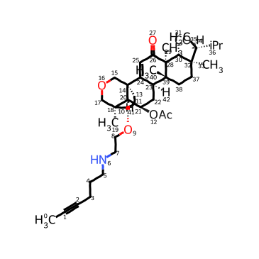 CC#CCCCNCCO[C@H]1[C@H](OC(C)=O)C[C@@]23COC[C@@]1(C)[C@@H]2CC[C@H]1C3=CC(=O)[C@@]2(C)[C@H](C(=O)O)[C@@](C)([C@H](C)C(C)C)CC[C@]12C